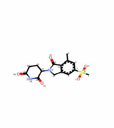 Cc1cc(S(C)(=O)=O)cc2c1C(=O)N(C1CCC(=O)NC1=O)C2